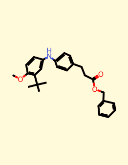 COc1ccc(Nc2ccc(CCC(=O)OCc3ccccc3)cc2)cc1C(C)(C)C